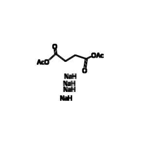 CC(=O)OC(=O)CCC(=O)OC(C)=O.[NaH].[NaH].[NaH].[NaH]